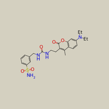 CCN(CC)c1ccc2c(C)c(CCNC(=O)NCc3cccc(S(N)(=O)=O)c3)c(=O)oc2c1